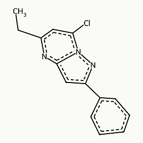 CCc1cc(Cl)n2nc(-c3ccccc3)cc2n1